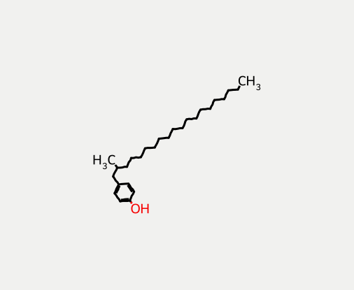 CCCCCCCCCCCCCCCCCCC(C)Cc1ccc(O)cc1